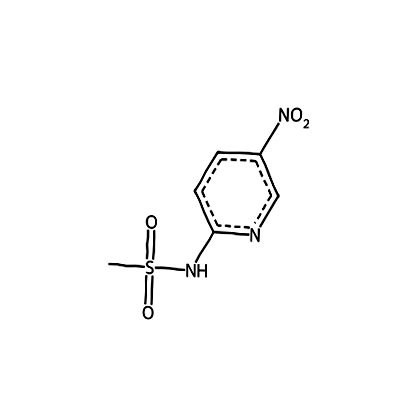 CS(=O)(=O)Nc1ccc([N+](=O)[O-])cn1